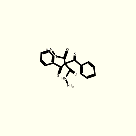 NNC(=O)C(C(=O)NN)(C(=S)c1ccccc1)C(=S)c1ccccc1